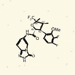 COc1c([C@H]2[C@H](C(=O)Nc3ccc4n[nH]c(=O)n4c3)O[C@@](C)(C(F)(F)F)[C@H]2C)ccc(F)c1F